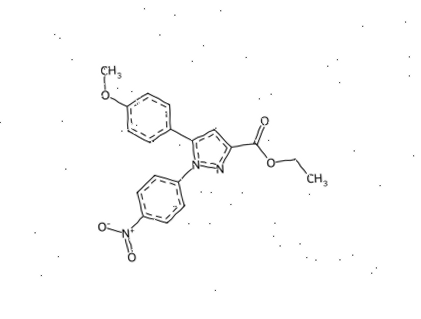 CCOC(=O)c1cc(-c2ccc(OC)cc2)n(-c2ccc([N+](=O)[O-])cc2)n1